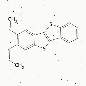 C=Cc1cc2c(cc1/C=C\C)sc1c3ccccc3sc21